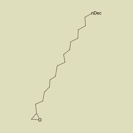 CCCCCCCCCCCCCCCCCCCCCCCCCC1CO1